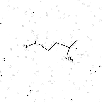 [CH2]C(N)CCOCC